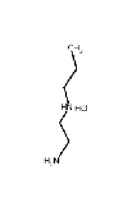 CCCNCCN.Cl